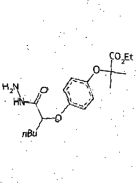 CCCCC(Oc1ccc(OC(C)(C)C(=O)OCC)cc1)C(=O)NN